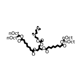 CCCCCCCCC(CCCCCCCC)OC(=O)CCCCCCC(=O)OCC(COC(=O)CCCCCCC(=O)OC(CCCCCCCC)CCCCCCCC)COC(=O)OCCN(C)CCN(C)C